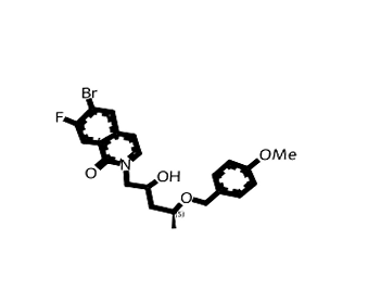 COc1ccc(CO[C@@H](C)CC(O)Cn2ccc3cc(Br)c(F)cc3c2=O)cc1